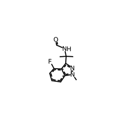 Cn1nc(C(C)(C)NC=O)c2c(F)cccc21